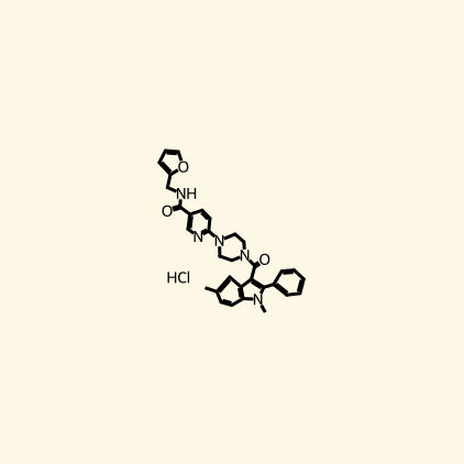 Cc1ccc2c(c1)c(C(=O)N1CCN(c3ccc(C(=O)NCc4ccco4)cn3)CC1)c(-c1ccccc1)n2C.Cl